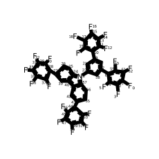 Fc1c(F)c(F)c(-c2cc(-c3c(F)c(F)c(F)c(F)c3F)cc(-n3c4ccc(-c5c(F)c(F)c(F)c(F)c5F)cc4c4cc(-c5c(F)c(F)c(F)c(F)c5F)ccc43)c2)c(F)c1F